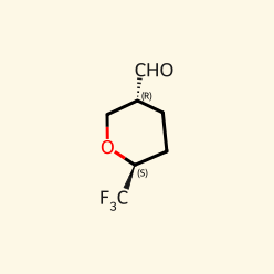 O=C[C@@H]1CC[C@@H](C(F)(F)F)OC1